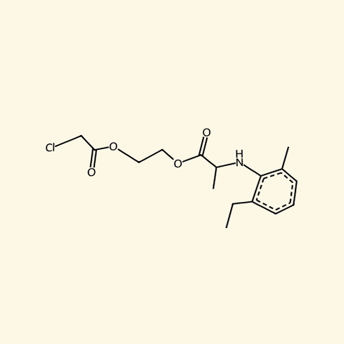 CCc1cccc(C)c1NC(C)C(=O)OCCOC(=O)CCl